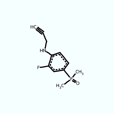 C#CCNc1ccc(P(C)(C)=O)cc1F